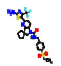 CCS(=O)(=O)c1ccc(CNC(=O)N2CC3(CCCC3)c3nc(-c4sc(N)nc4C(F)(F)F)ccc32)cc1